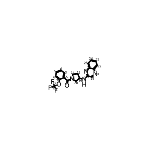 O=C(c1ccccc1OC(F)(F)F)N1CCC(Nc2cnc3ccccc3n2)C1